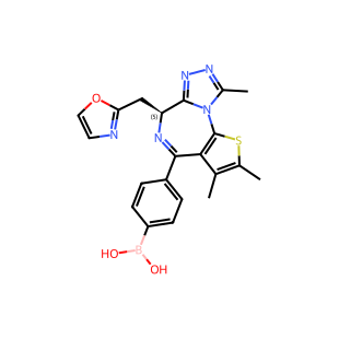 Cc1sc2c(c1C)C(c1ccc(B(O)O)cc1)=N[C@@H](Cc1ncco1)c1nnc(C)n1-2